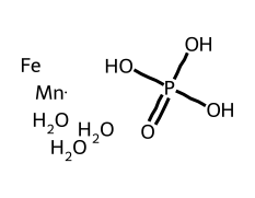 O.O.O.O=P(O)(O)O.[Fe].[Mn]